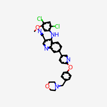 COc1cc(Nc2c(C#N)cnc3cc(-c4ccc(Oc5ccc(CN6CCOCC6)cc5)nc4)ccc23)c(Cl)cc1Cl